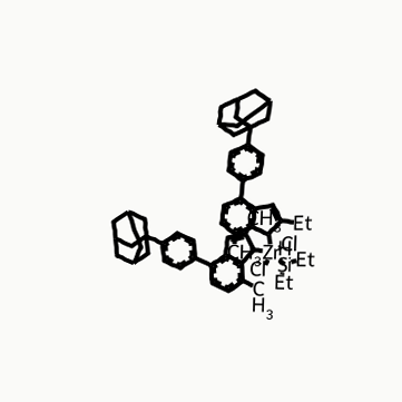 CCC1=Cc2c(-c3ccc(C45CC6CC(CC(C6)C4)C5)cc3)ccc(C)c2[CH]1[Zr]([Cl])([Cl])([CH]1C(C)=Cc2c(-c3ccc(C45CC6CC(CC(C6)C4)C5)cc3)ccc(C)c21)[SiH](CC)CC